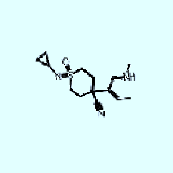 C/C=C(\CNC)C1(C#N)CCS(=O)(=NC2CC2)CC1